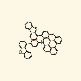 c1ccc(-c2cccc3cccc(-c4ccccc4N(c4ccc(-c5cccc6oc7ccccc7c56)cc4)c4ccccc4-c4cccc5c4sc4ccccc45)c23)cc1